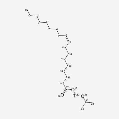 CCCCCCCC/C=C\CCCCCCCC(=O)[O][Ti][O]C(C)C